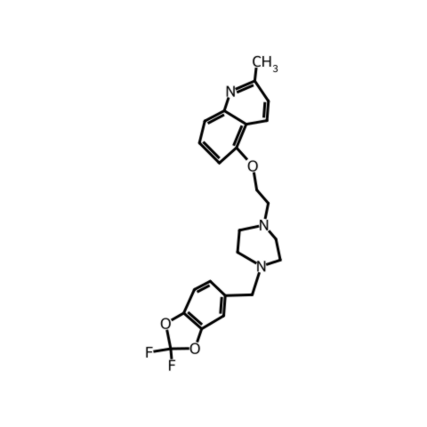 Cc1ccc2c(OCCN3CCN(Cc4ccc5c(c4)OC(F)(F)O5)CC3)cccc2n1